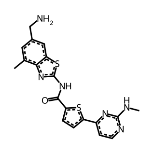 CNc1nccc(-c2ccc(C(=O)Nc3nc4c(C)cc(CN)cc4s3)s2)n1